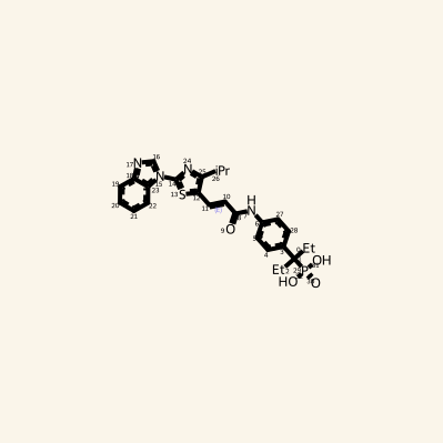 CCC(CC)(c1ccc(NC(=O)/C=C/c2sc(-n3cnc4ccccc43)nc2C(C)C)cc1)P(=O)(O)O